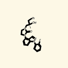 CC(C)C[C@@](C)(O)CN1CCN(c2cccc3c2cnn3-c2ccccc2F)C1=O